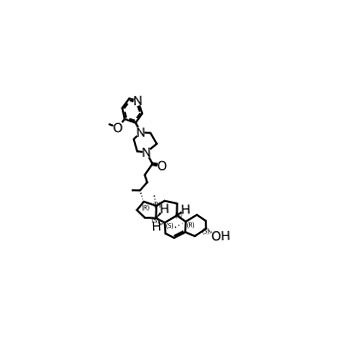 COc1ccncc1N1CCN(C(=O)CCC(C)[C@H]2CC[C@H]3[C@@H]4CC=C5C[C@@H](O)CC[C@]5(C)[C@H]4CC[C@]23C)CC1